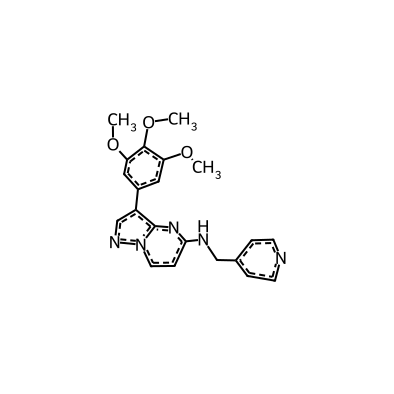 COc1cc(-c2cnn3ccc(NCc4ccncc4)nc23)cc(OC)c1OC